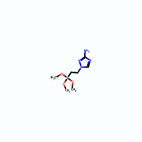 CO[Si](CCn1cnc(N)n1)(OC)OC